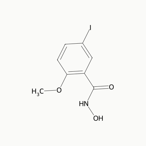 COc1ccc(I)cc1C(=O)NO